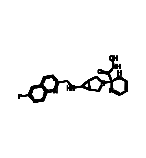 O=C(NO)C1(N2CC3C(C2)C3NCc2ccc3cc(F)ccc3n2)N=CC=CN1